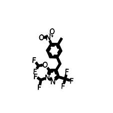 Cc1cc(Cc2c(C(F)(F)F)nn(C(F)F)c2OC(F)F)ccc1[N+](=O)[O-]